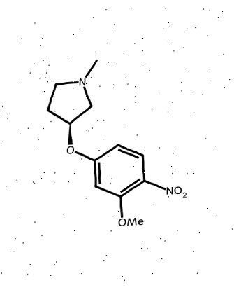 COc1cc(O[C@H]2CCN(C)C2)ccc1[N+](=O)[O-]